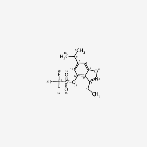 CCc1noc2cc(C(C)C)cc(OS(=O)(=O)C(F)(F)F)c12